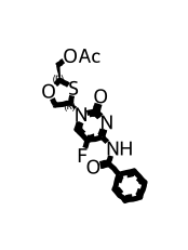 CC(=O)OC[C@@H]1OC[C@H](n2cc(F)c(NC(=O)c3ccccc3)nc2=O)S1